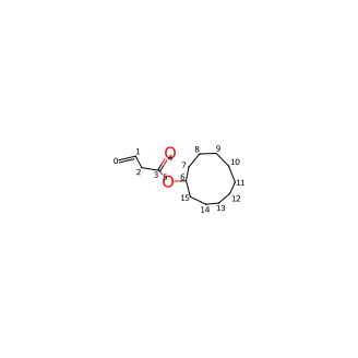 C=CCC(=O)OC1CCCCCCCCC1